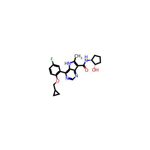 Cc1[nH]c2c(-c3cc(F)ccc3OCC3CC3)ncnc2c1C(=O)N[C@H]1CCC[C@@H]1O